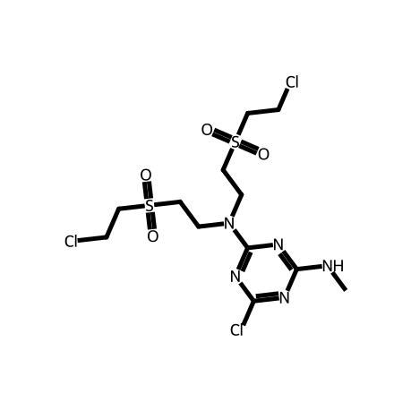 CNc1nc(Cl)nc(N(CCS(=O)(=O)CCCl)CCS(=O)(=O)CCCl)n1